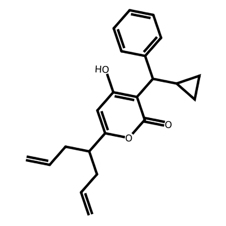 C=CCC(CC=C)c1cc(O)c(C(c2ccccc2)C2CC2)c(=O)o1